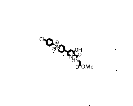 COC(=O)CNC(=O)c1ncc(C2=CCN(S(=O)(=O)c3ccc(Cl)cc3)CC2)cc1O